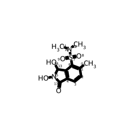 Cc1ccc2c(c1S(=O)(=O)N(C)C)C(O)N(O)C2=O